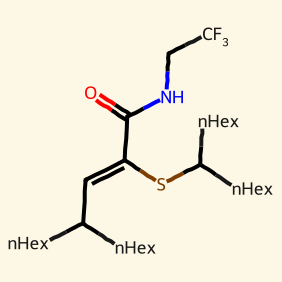 CCCCCCC(/C=C(\SC(CCCCCC)CCCCCC)C(=O)NCC(F)(F)F)CCCCCC